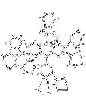 c1ccc2c(c1)-c1cc(N(c3ccc4c5ccccc5c5ccccc5c4c3)c3cc4c(cc3-c3cccc5c3oc3ccccc35)-c3ccccc3C43c4ccccc4-c4ccccc43)ccc1C21CCCC1